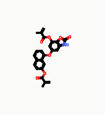 C=C(C)C(=O)Oc1ccc2cccc(Oc3cc(OC(=O)C(=C)C)c4oc(=O)[nH]c4c3)c2c1